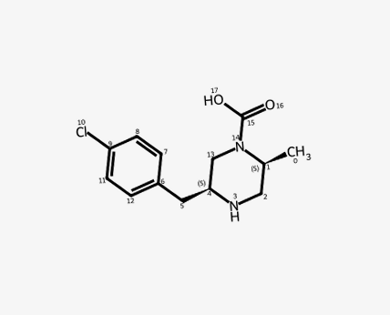 C[C@H]1CN[C@@H](Cc2ccc(Cl)cc2)CN1C(=O)O